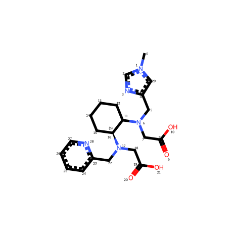 Cn1cnc(CN(CC(=O)O)C2CCCC[C@@H]2N(CC(=O)O)Cc2ccccn2)c1